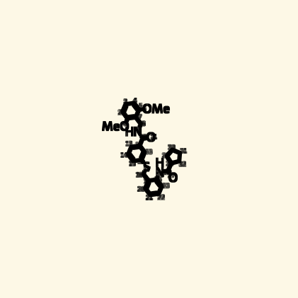 COc1cccc(OC)c1CNC(=O)c1cccc(SCc2ccccc2NC(=O)C2CCCC2)c1